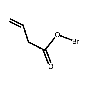 C=CCC(=O)OBr